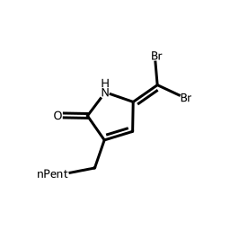 CCCCCCC1=CC(=C(Br)Br)NC1=O